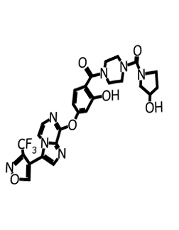 O=C(c1ccc(Oc2nccn3c(-c4conc4C(F)(F)F)cnc23)cc1O)N1CCN(C(=O)N2CCC(O)C2)CC1